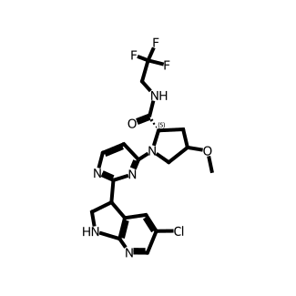 COC1C[C@@H](C(=O)NCC(F)(F)F)N(c2ccnc(C3CNc4ncc(Cl)cc43)n2)C1